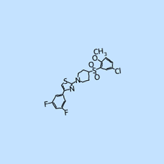 COc1ccc(Cl)cc1S(=O)(=O)C1CCN(c2nc(-c3cc(F)cc(F)c3)cs2)CC1